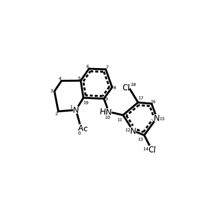 CC(=O)N1CCCc2cccc(Nc3nc(Cl)ncc3Cl)c21